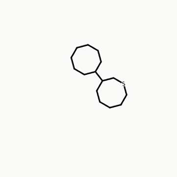 C1CCCC(C2CCCCCSC2)CCC1